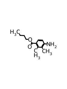 CCCCOC(=O)c1ccc(N)c(C)c1C